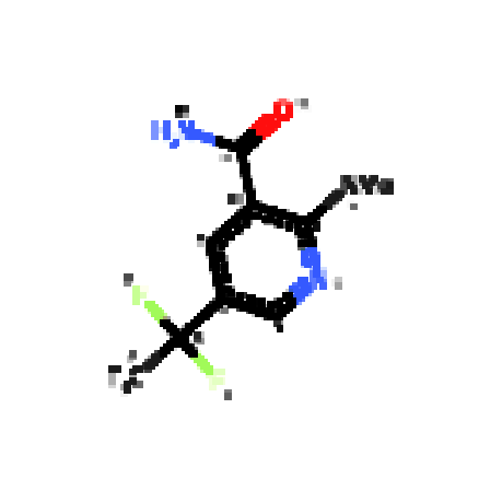 CNc1ncc(C(F)(F)C(F)(F)F)cc1C(N)=O